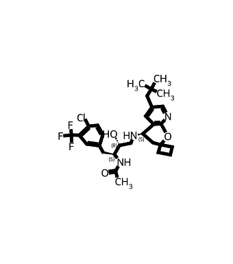 CC(=O)N[C@@H](Cc1ccc(Cl)c(C(F)(F)F)c1)[C@H](O)CN[C@H]1CC2(CCC2)Oc2ncc(CC(C)(C)C)cc21